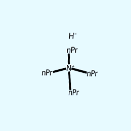 CCC[N+](CCC)(CCC)CCC.[H-]